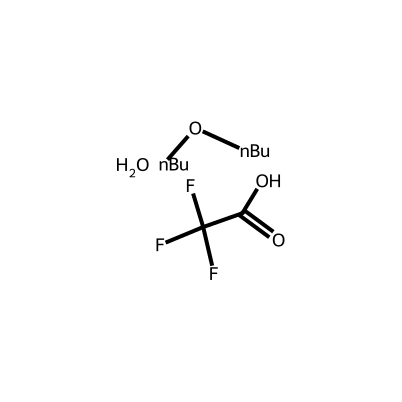 CCCCOCCCC.O.O=C(O)C(F)(F)F